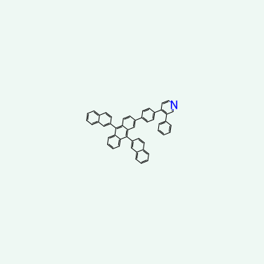 c1ccc(-c2cnccc2-c2ccc(-c3ccc4c(-c5ccc6ccccc6c5)c5ccccc5c(-c5ccc6ccccc6c5)c4c3)cc2)cc1